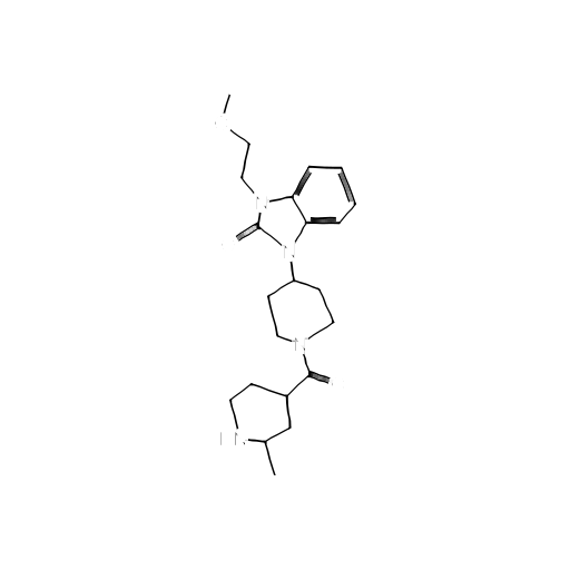 COCCn1c(=O)n(C2CCN(C(=O)C3CCNC(C)C3)CC2)c2ccccc21